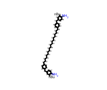 CCCCc1cc(Cc2ccc(CCCCCCCCCCCCCCCCCCCCc3ccc(Cc4ccc(N)c(CCCC)c4)cc3)cc2)ccc1N